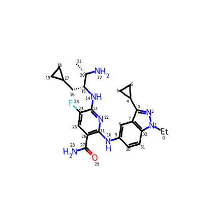 CCn1nc(C2CC2)c2cc(Nc3nc(N[C@H](CC4CC4)[C@H](C)N)c(F)cc3C(N)=O)ccc21